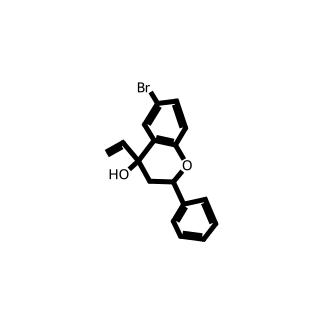 C=CC1(O)CC(c2ccccc2)Oc2ccc(Br)cc21